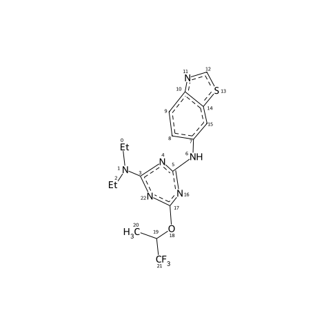 CCN(CC)c1nc(Nc2ccc3ncsc3c2)nc(OC(C)C(F)(F)F)n1